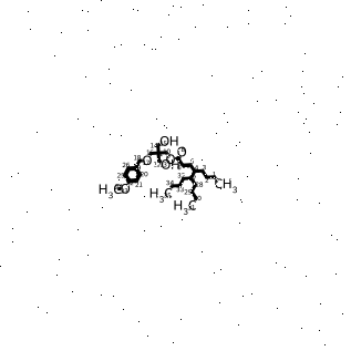 CCCCC(C=CC(=O)OCC(CO)(CO)COCc1ccc(OC)cc1)C(CCCC)CCCC